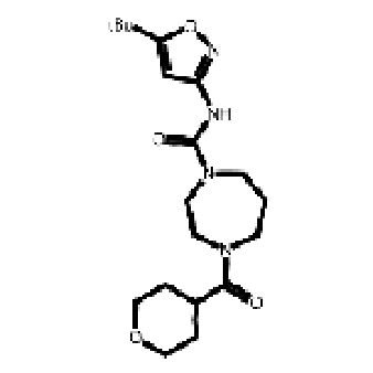 CC(C)(C)c1cc(NC(=O)N2CCCN(C(=O)C3CCOCC3)CC2)no1